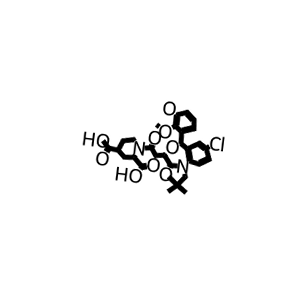 COc1cccc(C2OC(CC(=O)N3CCC(C(=O)O)CC3C(=O)O)C(=O)N(CC(C)(C)C)c3ccc(Cl)cc32)c1OC